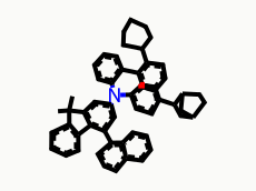 CC1(C)c2ccccc2-c2c(-c3cccc4ccccc34)cc(N(c3ccc(C4CC5CCC4C5)cc3)c3ccccc3-c3ccccc3C3CCCCC3)cc21